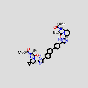 CCC1CCC[C@@H](c2ncc(-c3ccc(-c4ccc5cc(-c6cnc([C@@H]7CC8(CC8)CN7C(=O)[C@@H](NC(=O)OC)C(C)C)[nH]6)ccc5c4)cc3)[nH]2)N1C(=O)[C@H](CC)NC(=O)OC